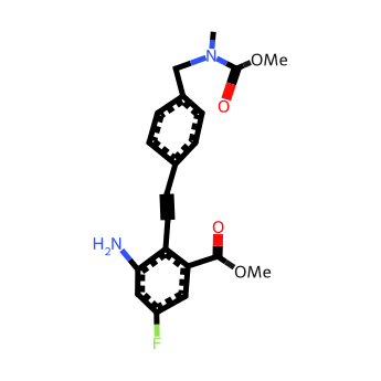 COC(=O)c1cc(F)cc(N)c1C#Cc1ccc(CN(C)C(=O)OC)cc1